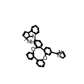 C[C@]1(N)C=CC2c3ccccc3N(c3ccc4c(c3)Oc3ccccc3-c3ccccc3Oc3cc(C5N6C=CCN56)ccc3-4)C21